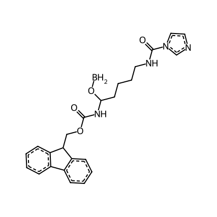 BOC(CCCCNC(=O)n1ccnc1)NC(=O)OCC1c2ccccc2-c2ccccc21